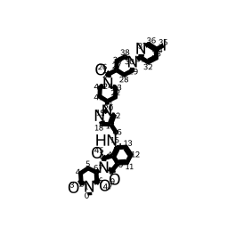 CN1C(=O)CCC(N2C(=O)c3cccc(NCc4cnn(C5CCN(C(=O)C6CCN(c7ccc(I)cn7)CC6)CC5)c4)c3C2=O)C1=O